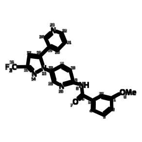 COc1cccc(C(=O)Nc2ccc(-n3nc(C(F)(F)F)cc3-c3cccnc3)cn2)c1